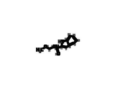 COCNC(=O)c1cc2ccccc2[nH]1